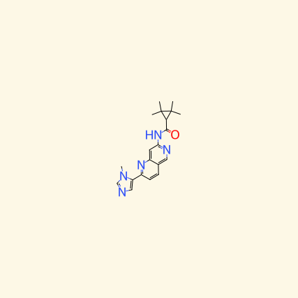 Cn1cncc1-c1ccc2cnc(NC(=O)C3C(C)(C)C3(C)C)cc2n1